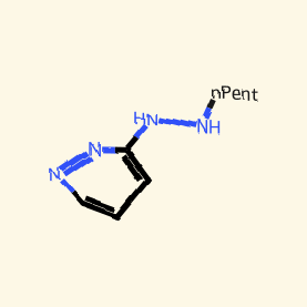 CCCCCNNc1cccnn1